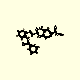 COC(=O)c1ccc(OC(=O)C=Cc2ccccc2OC(=O)c2ccccc2)c(C(C)=O)c1